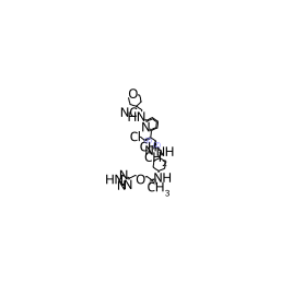 C=N/C(=C\C(=C(/C)Cl)c1cccc(NCC2(C#N)CCOCC2)n1)N[C@H]1CC[C@H](N[C@@H](C)COCc2nn[nH]n2)CC1